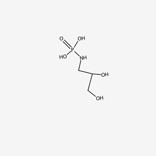 O=P(O)(O)NCC(O)CO